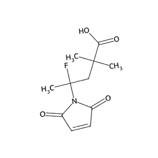 CC(C)(CC(C)(F)N1C(=O)C=CC1=O)C(=O)O